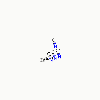 [C-]#N.[C-]#N.[C-]#N.[C-]#N.[Cu+2].[Zn+2]